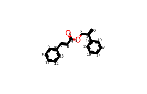 C=C(COC(=O)C=Cc1ccccc1)c1ccccc1